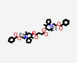 CCC1(C)CC(OC(=O)CCC(=O)OC2CC(C)(CC)N(CCOC(=O)c3ccccc3)C3(CCCC3)C2C)C(C)C2(CCCC2)N1CCOC(=O)c1ccccc1